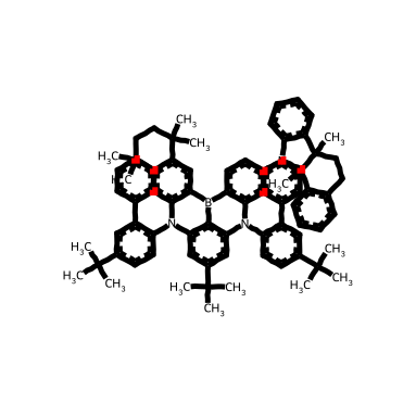 CC(C)(C)c1ccc(N2c3cc(N4c5ccccc5C5(C)CCc6ccccc6C45C)ccc3B3c4cc5c(cc4N(c4ccc(C(C)(C)C)cc4-c4ccccc4)c4cc(C(C)(C)C)cc2c43)C(C)(C)CCC5(C)C)c(-c2ccccc2)c1